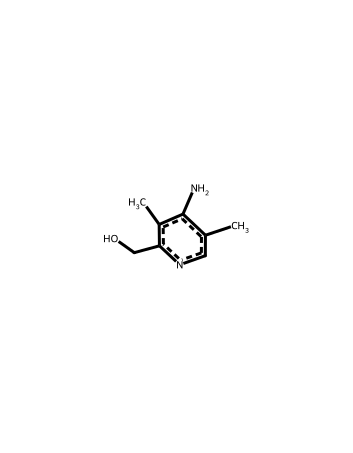 Cc1cnc(CO)c(C)c1N